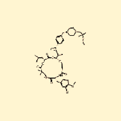 COc1ccc(C[C@H]2NC(=O)C=CC[C@@H]([C@H](C)[C@H]3O[C@@H]3c3ccc(CN4CCN(CC(C)(C)SSC)CC4)cc3)OC(=O)[C@H](CC(C)C)OC(=O)C(C)(C)CNC2=O)cc1Cl